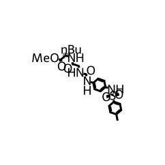 CCCC[C@@H](NC(=O)CNC(=O)Nc1ccc(NS(=O)(=O)c2ccc(C)cc2)cc1)C(=O)OC